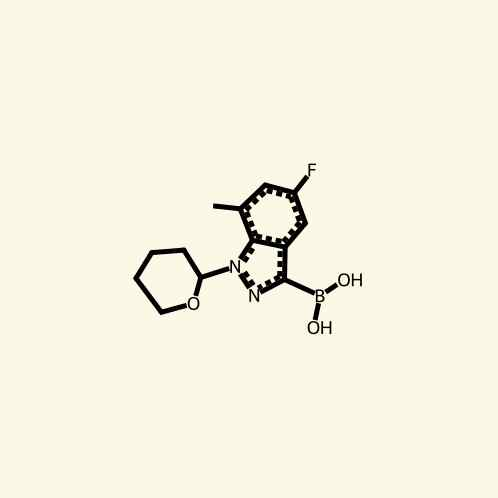 Cc1cc(F)cc2c(B(O)O)nn(C3CCCCO3)c12